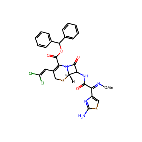 CON=C(C(=O)NC1C(=O)N2C(C(=O)OC(c3ccccc3)c3ccccc3)=C(C=C(Cl)Cl)CS[C@@H]12)c1csc(N)n1